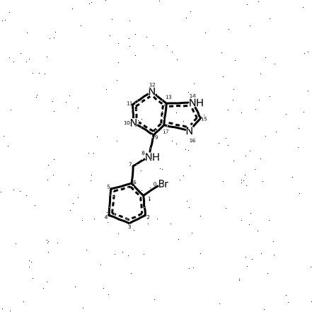 Brc1ccccc1CNc1ncnc2[nH]cnc12